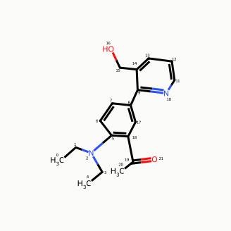 CCN(CC)c1ccc(-c2ncccc2CO)cc1C(C)=O